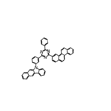 c1ccc(-c2nc(-c3cccc(-n4c5ccccc5c5cc6ccccc6cc54)c3)nc(-c3ccc4ccc5c6ccccc6ccc5c4c3)n2)cc1